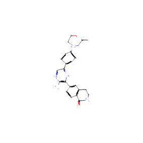 CC(C)C1CN(c2ccc(-c3cnc(N)c(-c4ccc5c(c4)CCNC5=O)n3)cc2)CCO1